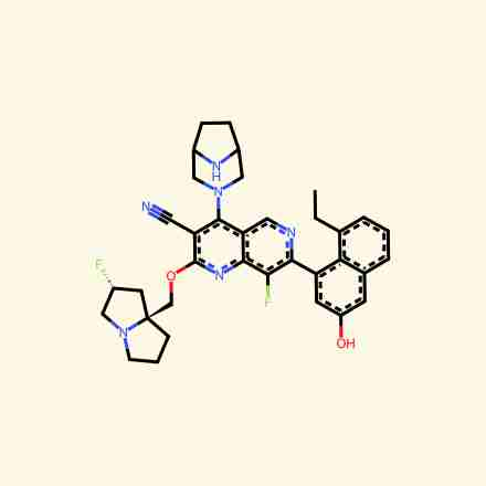 CCc1cccc2cc(O)cc(-c3ncc4c(N5CC6CCC(C5)N6)c(C#N)c(OC[C@@]56CCCN5C[C@H](F)C6)nc4c3F)c12